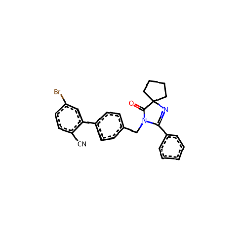 N#Cc1ccc(Br)cc1-c1ccc(CN2C(=O)C3(CCCC3)N=C2c2ccccc2)cc1